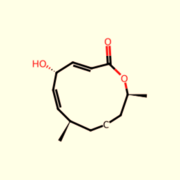 C[C@H]1/C=C\[C@H](O)/C=C/C(=O)O[C@@H](C)CCC1